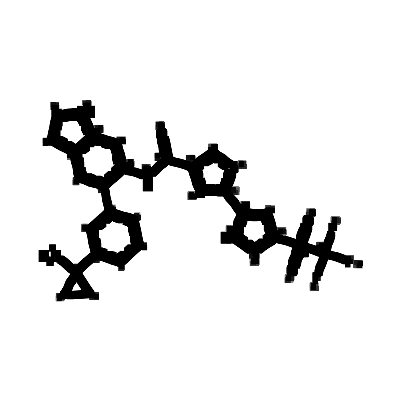 NC1(c2cccc(-c3cc4cn[nH]c4cc3NC(=O)c3csc(-c4cc(S(=O)(=O)C(F)(F)F)n[nH]4)n3)c2)CC1